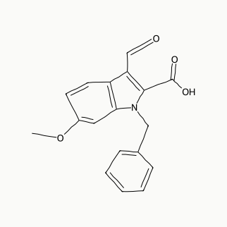 COc1ccc2c(C=O)c(C(=O)O)n(Cc3ccccc3)c2c1